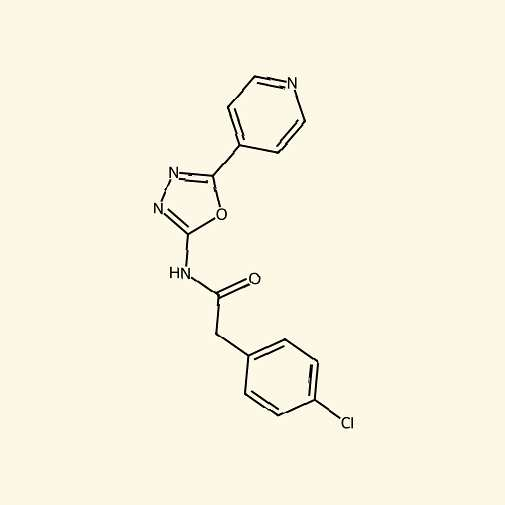 O=C(Cc1ccc(Cl)cc1)Nc1nnc(-c2ccncc2)o1